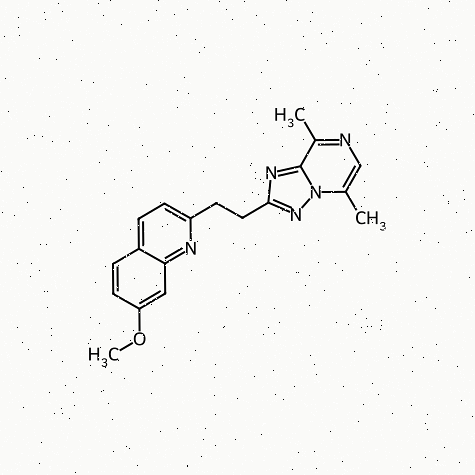 COc1ccc2ccc(CCc3nc4c(C)ncc(C)n4n3)nc2c1